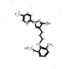 Cc1cccc(CC(=O)O)c1OCCCc1cn(-c2ccc(C(F)(F)F)cn2)nc1C(C)(C)C